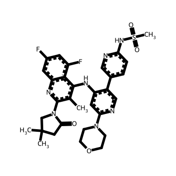 Cc1c(N2CC(C)(C)CC2=O)nc2cc(F)cc(F)c2c1Nc1cc(N2CCOCC2)ncc1-c1ccc(NS(C)(=O)=O)nc1